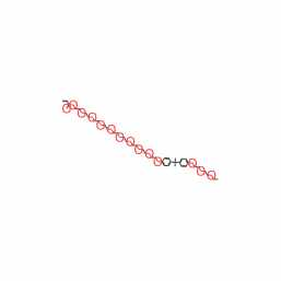 C=CC(=O)OCCOCCOCCOCCOCCOCCOCCOCCOCCOc1ccc(C(C)(C)c2ccc(OCCOCCOCC)cc2)cc1